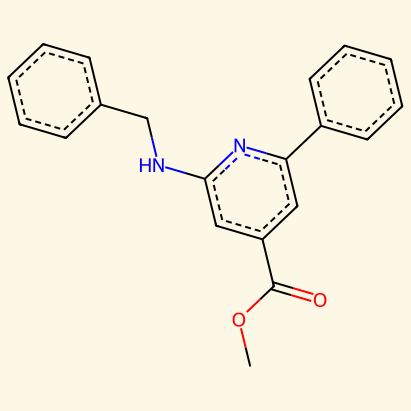 COC(=O)c1cc(NCc2ccccc2)nc(-c2ccccc2)c1